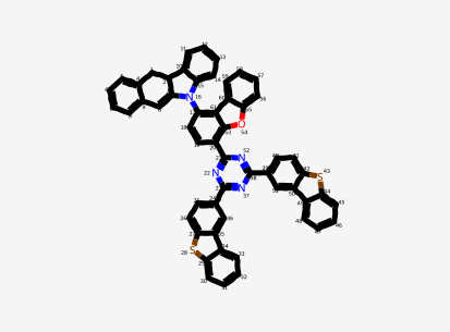 C1=C2C(Cc3ccccc31)c1ccccc1N2c1ccc(-c2nc(-c3ccc4sc5ccccc5c4c3)nc(-c3ccc4sc5ccccc5c4c3)n2)c2oc3ccccc3c12